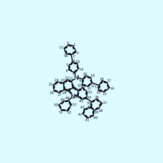 c1ccc(-c2ccc(N(c3ccc(-c4ccccc4)cc3)c3cc4ccccc4c4c3c3ccc(-c5cccc6ccccc56)cc3n4-c3ccccc3)cc2)cc1